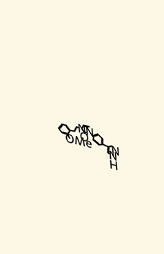 COc1ccccc1CCn1ccn(-c2ccc(-c3cn[nH]c3)cc2)c1=O